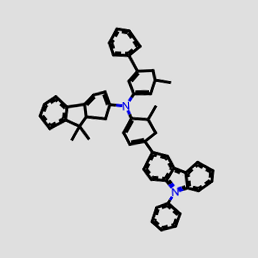 CC1C=C(N(C2=CC=C3c4ccccc4C(C)(C)C3C2)C2=CC=C(c3ccc4c(c3)c3ccccc3n4-c3ccccc3)CC2C)C=C(c2ccccc2)C1